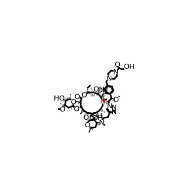 CC[C@H]1OC(=O)[C@H](C)[C@@H](O[C@H]2C[C@@](C)(OC)[C@@H](O)[C@H](C)O2)[C@H](C)[C@@H](O[C@@H]2O[C@H](C)C[C@H](N(C)CCc3cn([C@H](CF)[C@H](OC)c4ccc(CN5CCN(C(=O)CO)CC5)cc4)nn3)C2O)[C@@](O)(I)C[C@@H](C)CN(C)[C@H](C)[C@@H](O)[C@]1(C)O